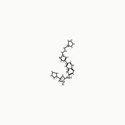 c1nc2ccc(NC3NN=C(C4CCCC4)S3)nc2cc1-c1cnn(CCCN2CCCC2)c1